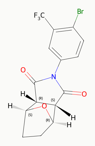 O=C1[C@@H]2[C@H](C(=O)N1c1ccc(Br)c(C(F)(F)F)c1)[C@H]1CC[C@@H]2O1